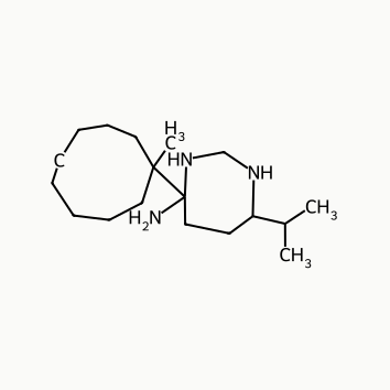 CC(C)C1CCC(N)(C2(C)CCCCCCCC2)NCN1